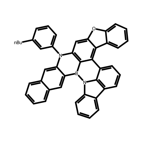 CCCCc1cccc(N2c3cc4ccccc4cc3B3c4c2cc2oc5ccccc5c2c4-c2cccc4c5ccccc5n3c24)c1